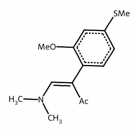 COc1cc(SC)ccc1C(=CN(C)C)C(C)=O